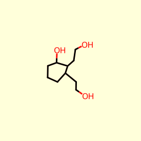 OCCC1CCCC(O)C1CCO